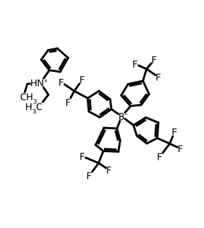 CC[NH+](CC)c1ccccc1.FC(F)(F)c1ccc([B-](c2ccc(C(F)(F)F)cc2)(c2ccc(C(F)(F)F)cc2)c2ccc(C(F)(F)F)cc2)cc1